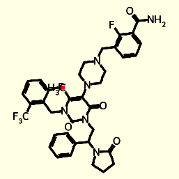 Cc1c(N2CCN(Cc3cccc(C(N)=O)c3F)CC2)c(=O)n(CC(c2ccccc2)N2CCCC2=O)c(=O)n1Cc1c(F)cccc1C(F)(F)F